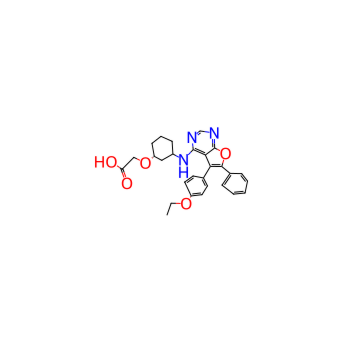 CCOc1ccc(-c2c(-c3ccccc3)oc3ncnc(NC4CCC[C@@H](OCC(=O)O)C4)c23)cc1